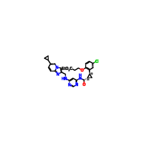 CCOC(=O)CCOc1ccc(Cl)cc1[C@H]1C[C@@H]1C(=O)Nc1cc(NCc2cn3cc(C4CC4)ccc3n2)ncn1